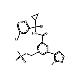 CCc1ccnc(C(CC)(NC(=O)c2cc(COS(C)(=O)=O)cc(-c3cccn3C)c2)C2CC2)c1